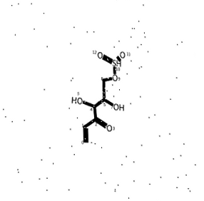 C=CC(=O)C(O)C(O)CO[SH](=O)=O